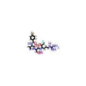 CC(C)C(NC(=O)c1ccc(Br)cc1)C(=O)NC(CO)C(=O)NC(CCCNC(=N)N)C(=O)CF